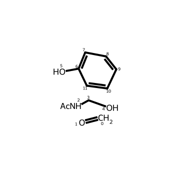 C=O.CC(=O)NCO.Oc1ccccc1